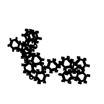 c1ccc(-n2c3ccccc3c3cc(-c4ccc5oc6cccc(N(c7ccc(-c8ccc9c(c8)C8(c%10ccccc%10-c%10ccccc%108)c8ccccc8-9)cc7)c7ccc(-c8cccc9c8oc8ccccc89)cc7)c6c5c4)ccc32)cc1